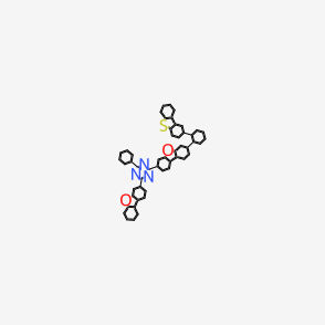 c1ccc(-c2nc(-c3ccc4c(c3)oc3ccccc34)nc(-c3ccc4c(c3)oc3cc(-c5ccccc5-c5ccc6sc7ccccc7c6c5)ccc34)n2)cc1